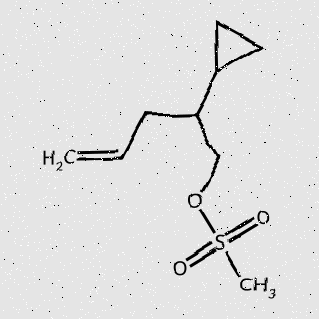 C=CCC(COS(C)(=O)=O)C1CC1